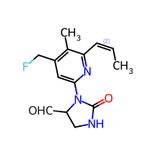 C/C=C\c1nc(N2C(=O)NCC2C=O)cc(CF)c1C